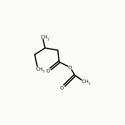 [CH2]C(CC)CC(=O)OC(C)=O